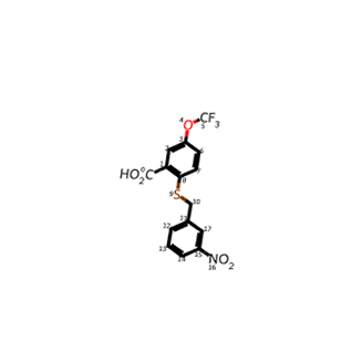 O=C(O)c1cc(OC(F)(F)F)ccc1SCc1cccc([N+](=O)[O-])c1